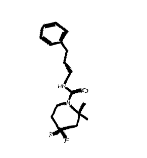 CC1(C)CC(F)(F)CCN1C(=O)NCCCc1ccccc1